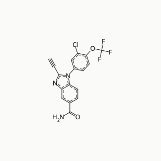 C#Cc1nc2cc(C(N)=O)ccc2n1-c1ccc(OC(F)(F)F)c(Cl)c1